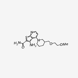 COCCOCC1CCCN(c2ccnc3sc(C(N)=O)c(N)c23)C1